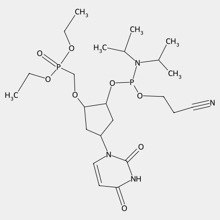 CCOP(=O)(COC1CC(n2ccc(=O)[nH]c2=O)CC1OP(OCCC#N)N(C(C)C)C(C)C)OCC